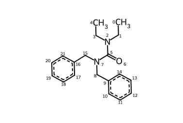 CCN(CC)C(=O)N(Cc1ccccc1)Cc1ccccc1